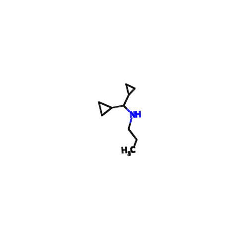 CCCNC(C1CC1)C1CC1